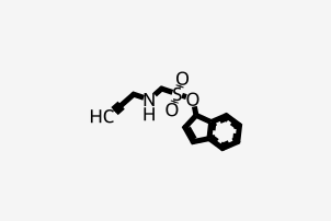 C#CCNCS(=O)(=O)OC1C=Cc2ccccc21